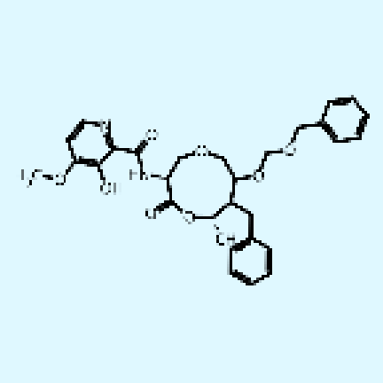 COc1ccnc(C(=O)N[C@H]2COCC(OCOCc3ccccc3)C(Cc3ccccc3)[C@H](C)OC2=O)c1O